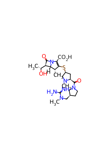 C[C@@H](O)[C@H]1C(=O)N2C(C(=O)O)=C(S[C@H]3C[C@@H](C(=O)N4CC[C@@H](CN(C)C(=N)N)C4)N(C)C3)[C@H](C)[C@H]12